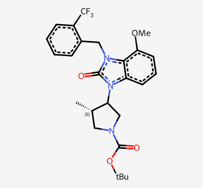 COc1cccc2c1n(Cc1ccccc1C(F)(F)F)c(=O)n2C1CN(C(=O)OC(C)(C)C)C[C@@H]1C